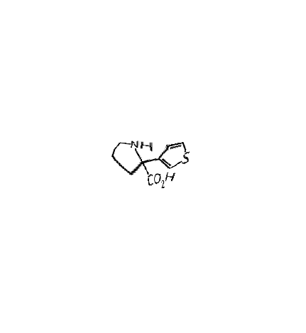 O=C(O)C1(c2ccsc2)CCCN1